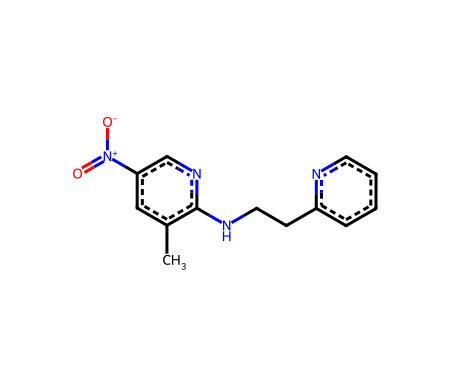 Cc1cc([N+](=O)[O-])cnc1NCCc1ccccn1